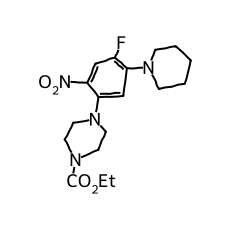 CCOC(=O)N1CCN(c2cc(N3CCCCC3)c(F)cc2[N+](=O)[O-])CC1